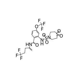 C=C(CCC(F)(F)F)NC(=O)c1ccc(OC(F)(F)F)cc1NS(=O)(=O)N1CCS(=O)(=O)CC1